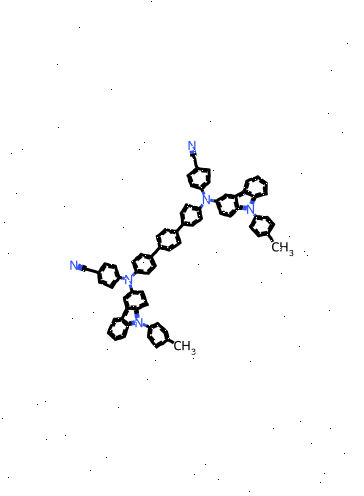 Cc1ccc(-n2c3ccccc3c3cc(N(c4ccc(C#N)cc4)c4ccc(-c5ccc(-c6ccc(N(c7ccc(C#N)cc7)c7ccc8c(c7)c7ccccc7n8-c7ccc(C)cc7)cc6)cc5)cc4)ccc32)cc1